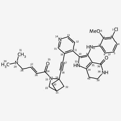 COc1c(Cl)cccc1Nc1c(-c2ccncc2C#CC23CC(CN2C(=O)/C=C/CN(C)C)C3)[nH]c2c1C(=O)NCC2